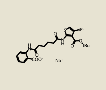 CC(C)c1csc(NC(=O)CCCCC(=O)Nc2ccccc2C(=O)[O-])c1C(=O)OC(C)(C)C.[Na+]